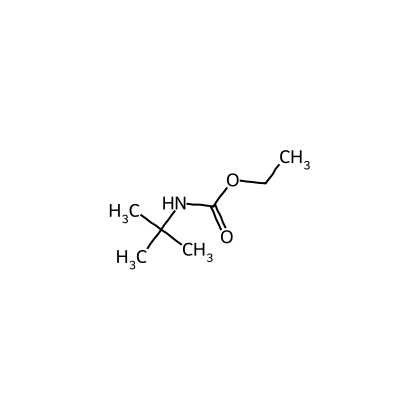 CCOC(=O)NC(C)(C)C